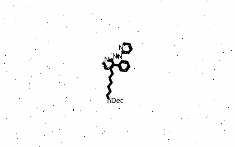 CCCCCCCCCCCCCCCCc1ccnc(N=Nc2ccccn2)c1-c1ccccc1